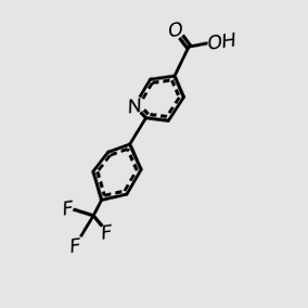 O=C(O)c1ccc(-c2ccc(C(F)(F)F)cc2)nc1